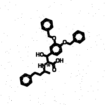 CC(CCc1ccccc1)N[C@H](C(=O)O)C(O)c1ccc(OCc2ccccc2)c(OCc2ccccc2)c1